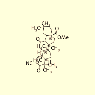 COC(=O)[C@]12CCC(C)(C)CC1C1C(=O)C[C@@H]3[C@@]4(C)C=C(C#N)C(=O)C(C)(C)[C@@H]4CC[C@@]3(C)[C@]1(C)CC2